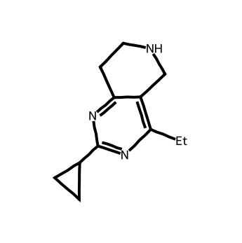 CCc1nc(C2CC2)nc2c1CNCC2